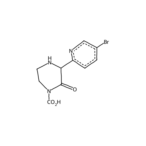 O=C(O)N1CCNC(c2ccc(Br)cn2)C1=O